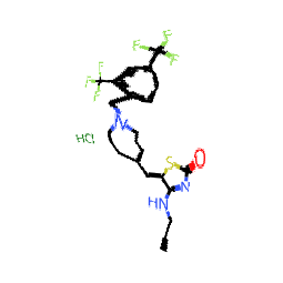 C#CCNC1=NC(=O)S/C1=C\C1CCN(Cc2ccc(C(F)(F)F)cc2C(F)(F)F)CC1.Cl